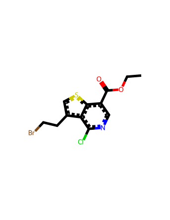 CCOC(=O)c1cnc(Cl)c2c(CCBr)csc12